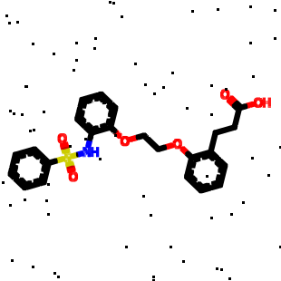 O=C(O)CCc1ccccc1OCCOc1ccccc1NS(=O)(=O)c1ccccc1